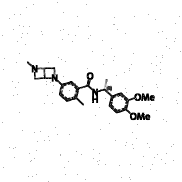 COc1ccc([C@@H](C)NC(=O)c2cc(N3CC4C3CN4C)ccc2C)cc1OC